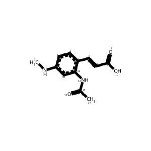 CNc1ccc(/C=C/C(=O)O)c(NC(C)=O)c1